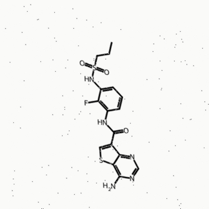 CCCS(=O)(=O)Nc1cccc(NC(=O)c2csc3c(N)ncnc23)c1F